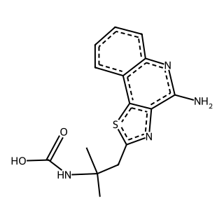 CC(C)(Cc1nc2c(N)nc3ccccc3c2s1)NC(=O)O